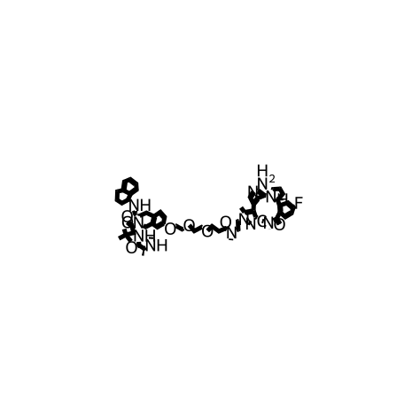 CN[C@@H](C)C(=O)N[C@H](C(=O)N1Cc2cc(OCCOCCOCCC(=O)N(C)CCn3nc4c(c3C)-c3cnc(N)c(c3)N3CCC[C@@H]3c3cc(F)ccc3C(=O)N(C)C4)ccc2C[C@H]1C(=O)N[C@@H]1CCCc2ccccc21)C(C)(C)C